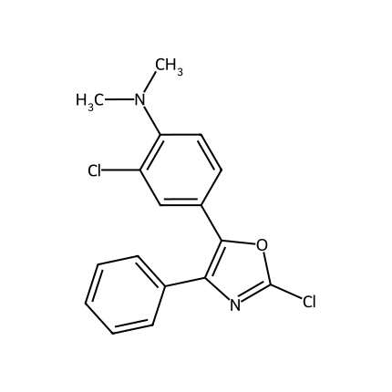 CN(C)c1ccc(-c2oc(Cl)nc2-c2ccccc2)cc1Cl